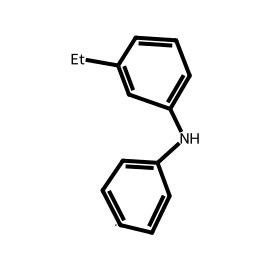 CCc1cccc(Nc2cc[c]cc2)c1